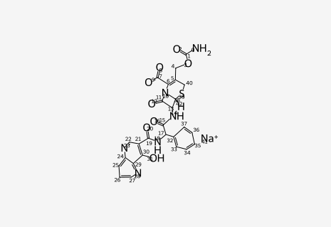 NC(=O)OCC1=C(C(=O)[O-])N2C(=O)C(NC(=O)C(NC(=O)c3cnc4cccnc4c3O)c3ccccc3)[C@H]2SC1.[Na+]